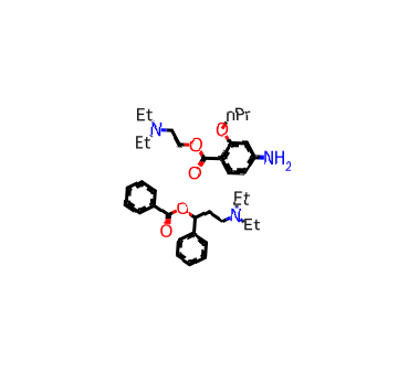 CCCOc1cc(N)ccc1C(=O)OCCN(CC)CC.CCN(CC)CCC(OC(=O)c1ccccc1)c1ccccc1